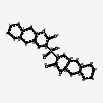 O=c1oc2cc3ccccc3cc2cc1S(=O)(=O)c1cc2cc3ccccc3cc2oc1=O